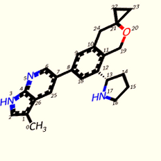 Cc1c[nH]c2ncc(-c3cc4c(c([C@@H]5CCCN5)c3)COC3(CC3)C4)cc12